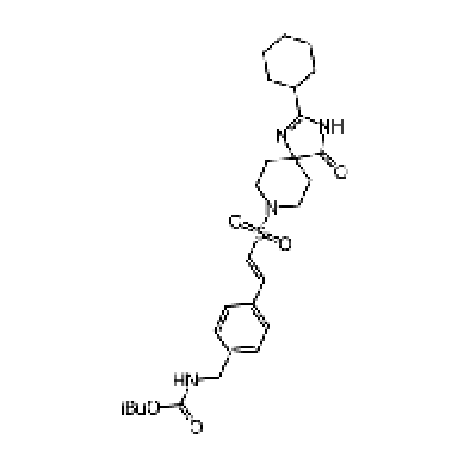 CC(C)COC(=O)NCc1ccc(C=CS(=O)(=O)N2CCC3(CC2)N=C(C2CCCCC2)NC3=O)cc1